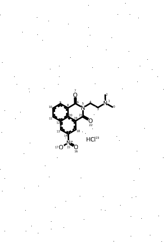 CN(C)CCN1C(=O)c2cccc3cc([N+](=O)[O-])cc(c23)C1=O.Cl